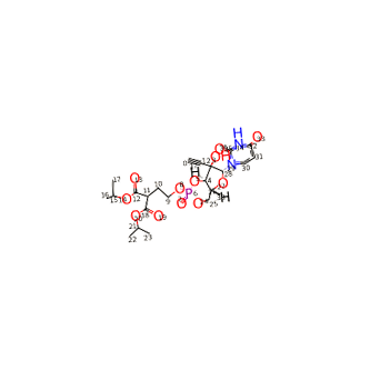 C#C[C@@]1(O)[C@@H]2O[P@@](=O)(OCCC(C(=O)OC(C)C)C(=O)OC(C)C)OC[C@H]2O[C@H]1n1ccc(=O)[nH]c1=O